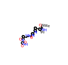 CNC(=O)c1c[nH]c2c(C(C)C)cc(-c3cccc4cc(-c5ccc(C(=O)NC/C=C/c6cccc7c6CN(C6CCC(=O)NC6=O)C7=O)nc5)ncc34)cc12